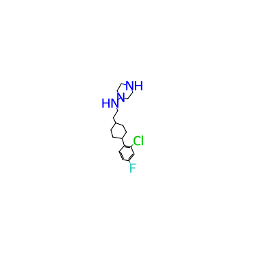 Fc1ccc(C2CCC(CCNN3CCNCC3)CC2)c(Cl)c1